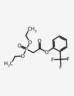 CCOP(=O)(CC(=O)Oc1ccccc1C(F)(F)F)OCC